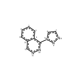 c1ccc2c(-n3ccnn3)nncc2c1